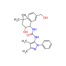 Cc1nn(-c2ccccc2)c(NC(=O)NC2c3cc(CO)ccc3C(C)(C)CC2O)c1C